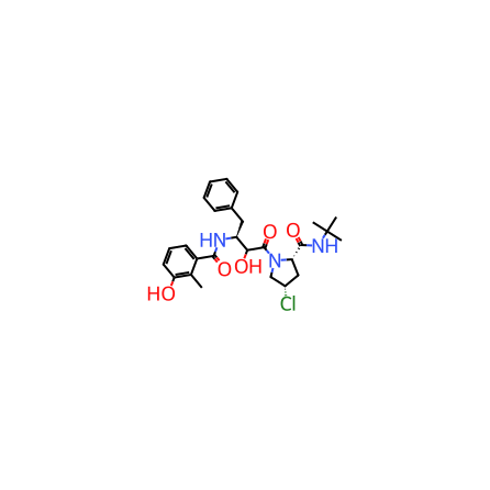 Cc1c(O)cccc1C(=O)N[C@@H](Cc1ccccc1)C(O)C(=O)N1C[C@@H](Cl)C[C@H]1C(=O)NC(C)(C)C